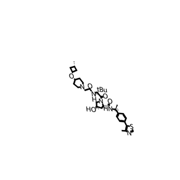 Cc1ncsc1-c1ccc([C@H](C)NC(=O)[C@@H]2C[C@@H](O)CN2C(=O)[C@@H](NC(=O)CN2CCC(O[C@H]3C[C@@H](C)C3)CC2)C(C)(C)C)cc1